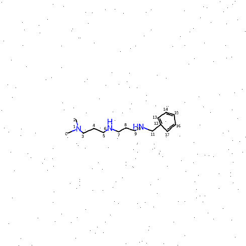 CN(C)CCCNCCCNCc1ccccc1